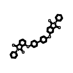 O=C1c2ccc(Oc3ccc(-c4ccc(Oc5cccc6c5C(=O)N(c5ccccc5)C6=O)cc4)cc3)cc2C(=O)N1c1ccccc1